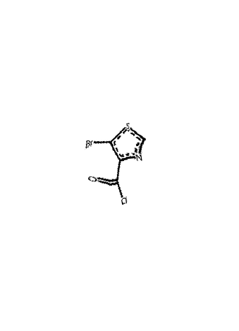 O=C(Cl)c1ncsc1Br